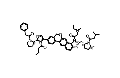 CCCC(=O)n1c(-c2ccc3c(c2)COc2cc4c5c(ccc4cc2-3)N=S(C[C@H]2CC[C@@H](C)N2C(=O)CC(C)C)N5C(=O)CN(C)CC)cnc1[C@H]1CCCN1C(=O)Cc1ccccc1